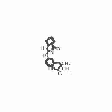 CC1(C)Cc2cc(Nc3nc(=O)c4ccccc4[nH]3)ccc2NC1=O